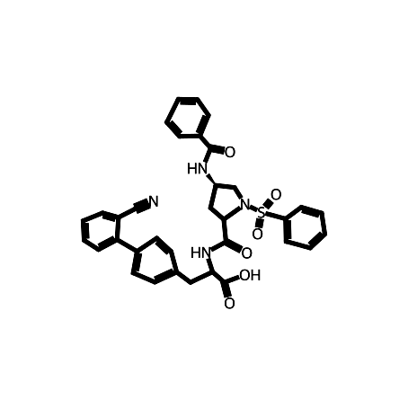 N#Cc1ccccc1-c1ccc(CC(NC(=O)C2C[C@@H](NC(=O)c3ccccc3)CN2S(=O)(=O)c2ccccc2)C(=O)O)cc1